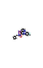 O=C(NCCc1ccccc1)c1cn(-c2ccc(F)cc2)c2ncccc2c1=O